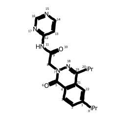 CC(C)c1ccc2c(=O)n(CC(=O)Nc3ccncn3)nc(C(C)C)c2c1